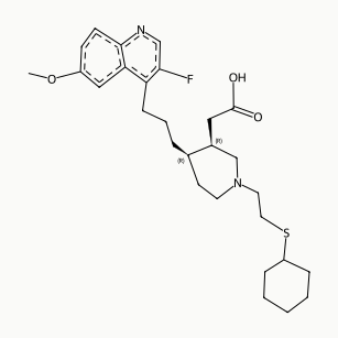 COc1ccc2ncc(F)c(CCC[C@@H]3CCN(CCSC4CCCCC4)C[C@@H]3CC(=O)O)c2c1